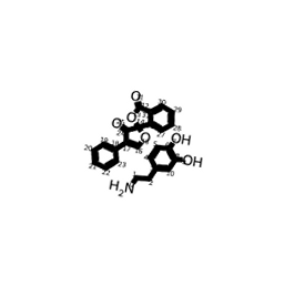 NCCc1ccc(O)c(O)c1.O=C1OC2(OC=C(c3ccccc3)C2=O)c2ccccc21